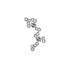 c1cc(-c2ccc3c(-c4nc(-c5ccc6cc7c(cc6c5)oc5ccccc57)nc(-c5cccc6ccccc56)n4)cccc3c2)c2ccc(-c3nc(-c4cccc5ccccc45)nc(-c4cccc5cc6c(cc45)oc4ccccc46)n3)cc2c1